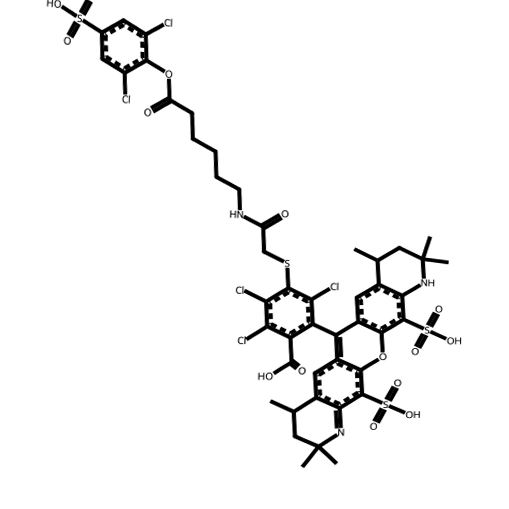 CC1CC(C)(C)Nc2c1cc1c(c2S(=O)(=O)O)Oc2c(S(=O)(=O)O)c3c(cc2=C1c1c(Cl)c(SCC(=O)NCCCCCC(=O)Oc2c(Cl)cc(S(=O)(=O)O)cc2Cl)c(Cl)c(Cl)c1C(=O)O)C(C)CC(C)(C)N=3